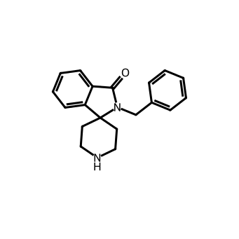 O=C1c2ccccc2C2(CCNCC2)N1Cc1ccccc1